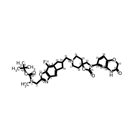 CN(Cc1nc2cc3c(c(F)c2o1)CC(CN1CCC2(CC1)CN(c1ccc4c(n1)NC(=O)CO4)C(=O)O2)C3)C(=O)OC(C)(C)C